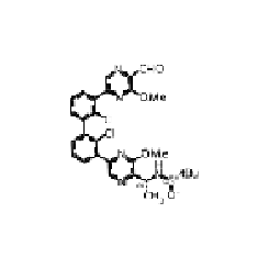 COc1nc(-c2cccc(-c3cccc(-c4cnc([C@@H](C)N[S@+]([O-])C(C)(C)C)c(OC)n4)c3Cl)c2Cl)cnc1C=O